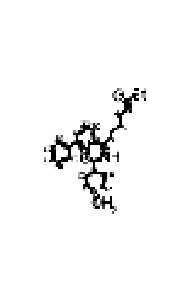 CCC(=O)CCCCCC(NC(=O)C1CCN(C)CC1)c1cccc(-c2ccccc2)n1